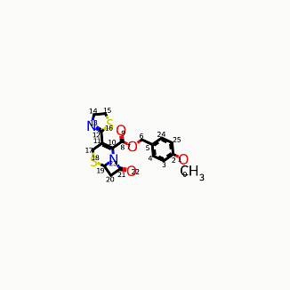 COc1ccc(COC(=O)C2=C(C3=NCCS3)CSC3CC(=O)N23)cc1